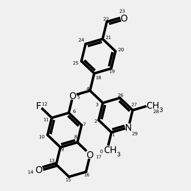 Cc1cc(C(Oc2cc3c(cc2F)C(=O)CCO3)c2ccc(C=O)cc2)cc(C)n1